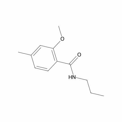 CCCNC(=O)c1ccc(C)cc1OC